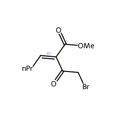 CCC/C=C(\C(=O)CBr)C(=O)OC